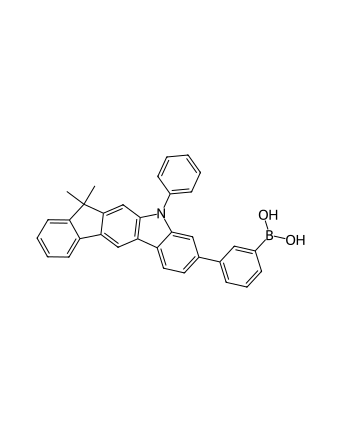 CC1(C)c2ccccc2-c2cc3c4ccc(-c5cccc(B(O)O)c5)cc4n(-c4ccccc4)c3cc21